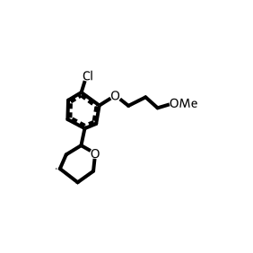 COCCCOc1cc(C2C[CH]CCO2)ccc1Cl